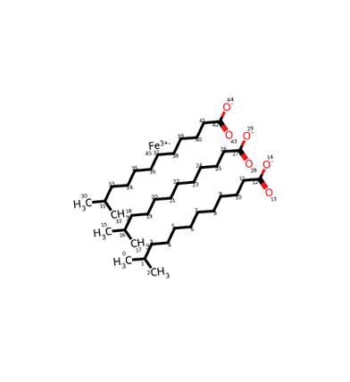 CC(C)CCCCCCCCCC(=O)[O-].CC(C)CCCCCCCCCC(=O)[O-].CC(C)CCCCCCCCCC(=O)[O-].[Fe+3]